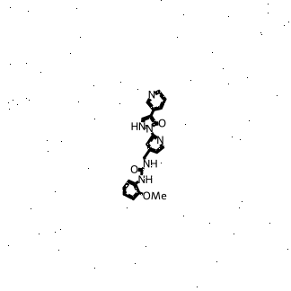 COc1ccccc1NC(=O)NCc1ccnc(-n2[nH]cc(-c3cccnc3)c2=O)c1